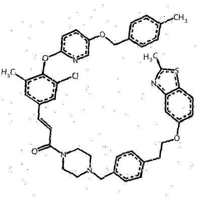 Cc1ccc(COc2ccc(Oc3c(C)cc(C=CC(=O)N4CCN(Cc5ccc(CCOc6ccc7sc(C)nc7c6)cc5)CC4)cc3Cl)nc2)cc1